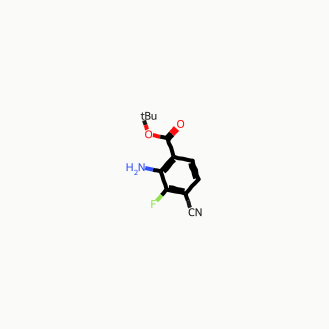 CC(C)(C)OC(=O)c1ccc(C#N)c(F)c1N